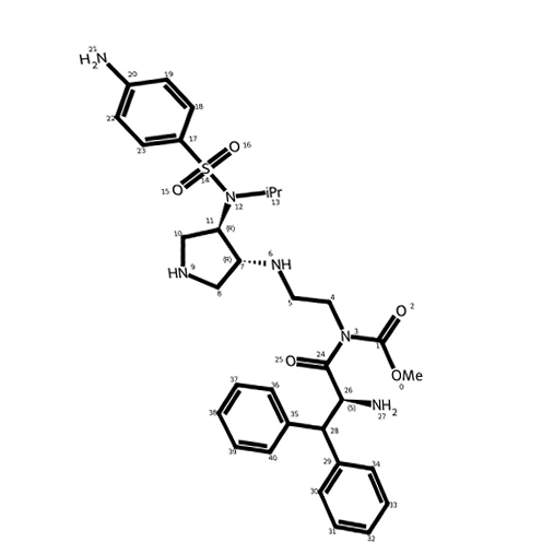 COC(=O)N(CCN[C@@H]1CNC[C@H]1N(C(C)C)S(=O)(=O)c1ccc(N)cc1)C(=O)[C@@H](N)C(c1ccccc1)c1ccccc1